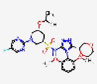 COc1cccc(OC)c1-n1c(NS(=O)(=O)[C@@H]2C[C@H](OC(C)C)CN(c3ncc(F)cn3)C2)nnc1[C@@H]1COCCO1